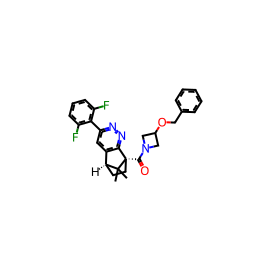 CC1(C)[C@H]2CC[C@]1(C(=O)N1CC(OCc3ccccc3)C1)c1nnc(-c3c(F)cccc3F)cc12